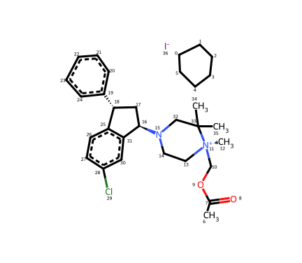 C1CCCCC1.CC(=O)OC[N@@+]1(C)CCN([C@@H]2C[C@@H](c3ccccc3)c3ccc(Cl)cc32)CC1(C)C.[I-]